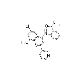 Cc1cc(Cl)cc2c(Nc3ccccc3C(N)=O)nc(-c3cccnc3)nc12